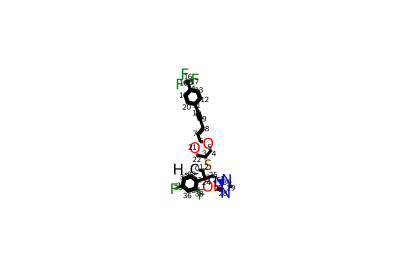 CC(SC1COC(C=CC#Cc2ccc(C(F)(F)F)cc2)OC1)C(O)(Cn1cncn1)c1ccc(F)cc1F